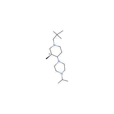 CC(C)N1CCN(C2CCN(CC(C)(C)C)C[C@@H]2C)CC1